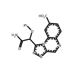 CC(C)OC(C(N)=O)c1nnc2cnc3ccc(C(=O)O)cc3n12